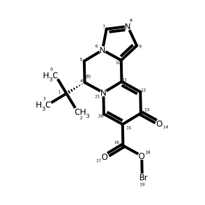 CC(C)(C)[C@@H]1Cn2cncc2-c2cc(=O)c(C(=O)OBr)cn21